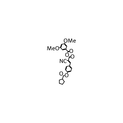 COc1cc(OC)cc(C(=O)OC(=O)/C(C#N)=C/c2ccc(OC(=O)C3CCCC3)cc2)c1